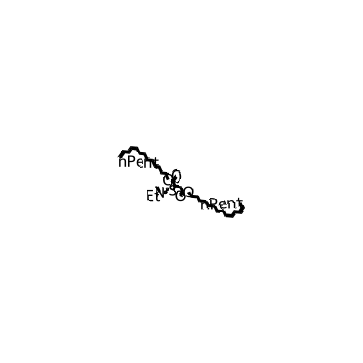 CCCCC/C=C\C/C=C\CCCCCCCCOC(=O)CC(SCCN(C)CC)C(=O)OCCCCCCCC/C=C\C/C=C\CCCCC